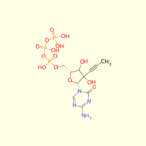 CC#CC1(O)C(O)[C@@H](COP(=O)(O)OP(=O)(O)OP(=O)(O)O)O[C@H]1n1cnc(N)nc1=O